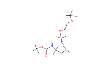 CC(CCC(C)(C)OCCOC(C)(C)C)CC(C)(C)NC(=O)OC(C)(C)C